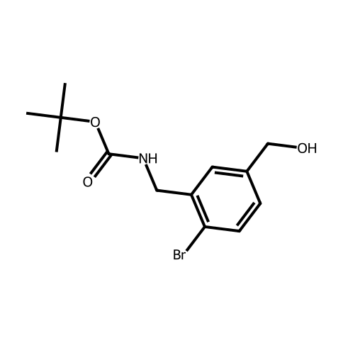 CC(C)(C)OC(=O)NCc1cc(CO)ccc1Br